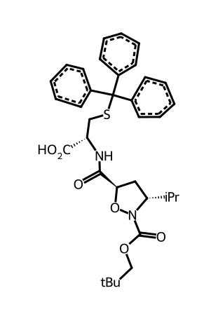 CC(C)[C@H]1C[C@H](C(=O)N[C@@H](CSC(c2ccccc2)(c2ccccc2)c2ccccc2)C(=O)O)ON1C(=O)OCC(C)(C)C